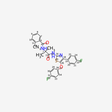 CC(C)(NC(=O)c1ccccc1C#N)C(=O)Nc1nc(-c2ccc(F)cc2)c(Oc2ccc(F)cc2)s1